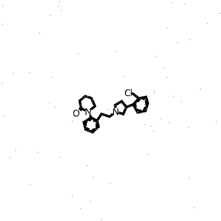 O=C1CCCCN1c1ccccc1CCN1CCC(c2ccccc2Cl)C1